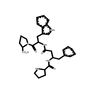 O=C(CC(Cc1ccccc1)NC(=O)C1CCCN1)NC(Cc1c[nH]c2ccccc12)C(=O)N1CCCC1C(=O)O